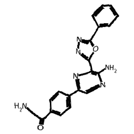 NC(=O)c1ccc(-c2cnc(N)c(-c3nnc(-c4ccccc4)o3)n2)cc1